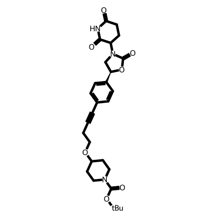 CC(C)(C)OC(=O)N1CCC(OCCC#Cc2ccc([C@H]3CN(C4CCC(=O)NC4=O)C(=O)O3)cc2)CC1